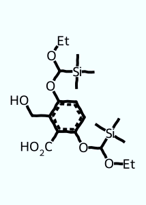 CCOC(Oc1ccc(OC(OCC)[Si](C)(C)C)c(C(=O)O)c1CO)[Si](C)(C)C